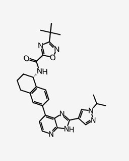 CC(C)n1cc(-c2nc3c(-c4ccc5c(c4)CCC[C@@H]5NC(=O)c4nc(C(C)(C)C)no4)ccnc3[nH]2)cn1